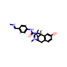 C/N=C/c1ccc(NC(=O)N(C)[C@@H]2C3Cc4ccc(O)cc4[C@@]2(C)CCN3C)cc1